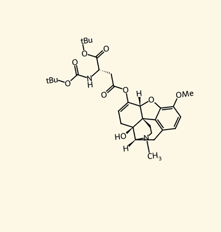 COc1ccc2c3c1O[C@H]1C(OC(=O)C[C@H](NC(=O)OC(C)(C)C)C(=O)OC(C)(C)C)=CC[C@@]4(O)[C@@H](C2)N(C)CC[C@]314